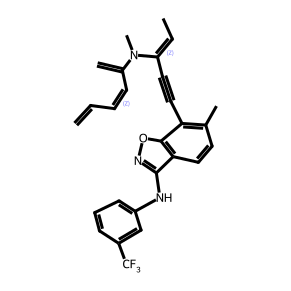 C=C/C=C\C(=C)N(C)/C(C#Cc1c(C)ccc2c(Nc3cccc(C(F)(F)F)c3)noc12)=C\C